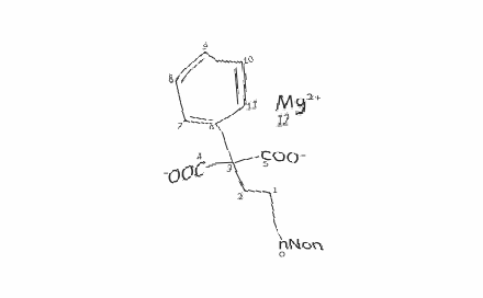 CCCCCCCCCCCC(C(=O)[O-])(C(=O)[O-])c1ccccc1.[Mg+2]